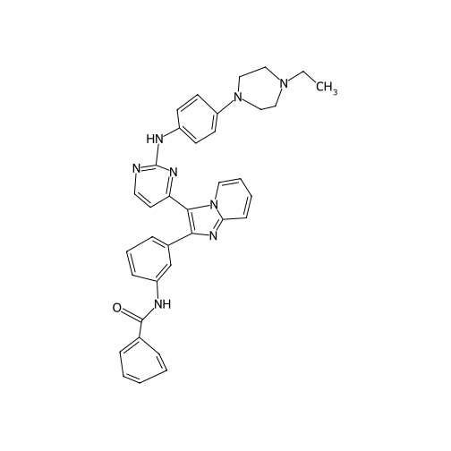 CCN1CCN(c2ccc(Nc3nccc(-c4c(-c5cccc(NC(=O)c6ccccc6)c5)nc5ccccn45)n3)cc2)CC1